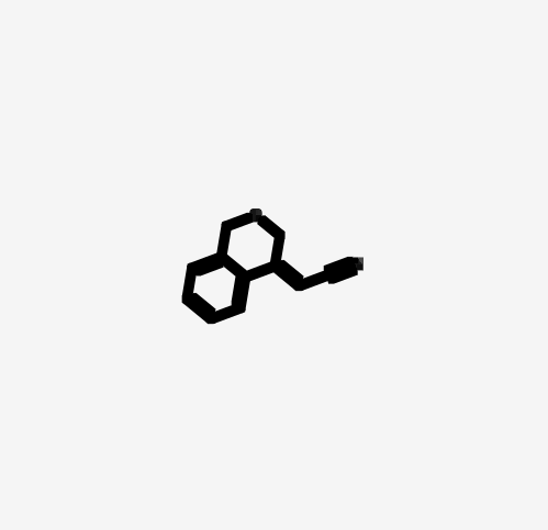 N#CC=C1COCc2ccccc21